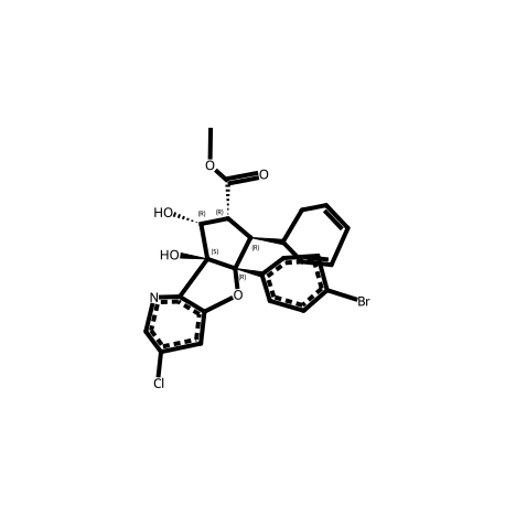 COC(=O)[C@H]1[C@@H](O)[C@@]2(O)c3ncc(Cl)cc3O[C@@]2(c2ccc(Br)cc2)[C@@H]1C1C=CC=CC1